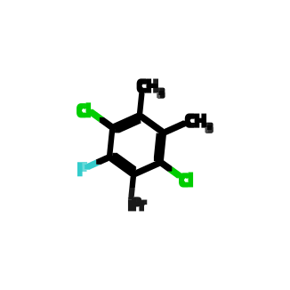 Cc1c(C)c(Cl)c(C(C)C)c(F)c1Cl